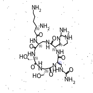 NCCC[C@H](N)CC(=O)N[C@H]1CNC(=O)[C@H]([C@H]2CCNC(N)=N2)NC(=O)/C(=C/NC(N)=O)NC(=O)[C@H](CO)NC(=O)[C@H](CO)NC1=O